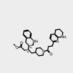 COC(=O)C[C@H](CC1CCN(C(=O)CCc2ccc3c(n2)NCCC3)CC1)[C@@H]1CNc2ccccc2C1